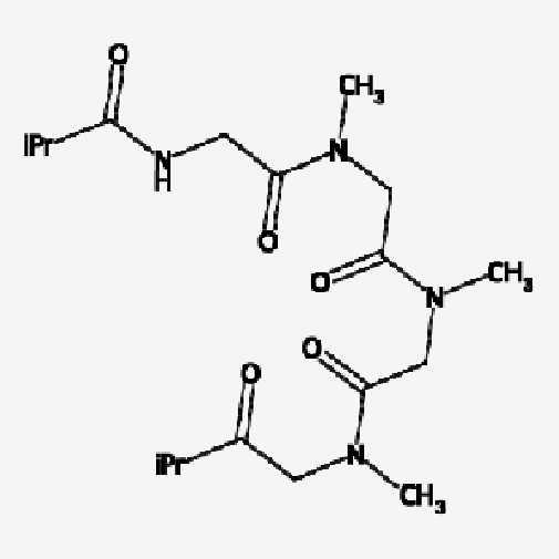 CC(C)C(=O)CN(C)C(=O)CN(C)C(=O)CN(C)C(=O)CNC(=O)C(C)C